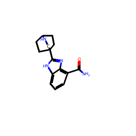 NC(=O)c1cccc2[nH]c(C34CCC(CC3)NC4)nc12